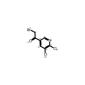 O=C(CBr)c1cnc(Cl)c(Cl)c1